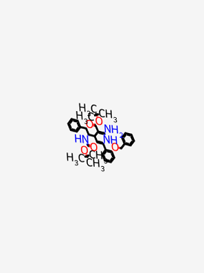 CC(C)(C)OC(=O)NC(Cc1ccccc1)C1C=C(c2ccccc2OCc2ccccc2)NC(N)=C1C(=O)OC(C)(C)C